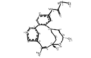 CCNC(=O)Nc1cc2c(cn1)-c1cncc(c1)/C(O)=B\[C@@H]1CN2C[C@H](C)O1